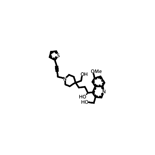 COc1ccc2ncc(CO)c([C@@H](O)CCC3(CO)CCN(CC#Cc4cccs4)CC3)c2c1